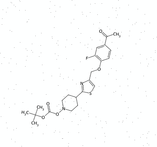 CC(=O)c1ccc(OCc2csc(C3CCN(OC(=O)OC(C)(C)C)CC3)n2)c(F)c1